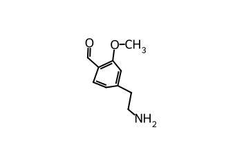 COc1cc(CCN)ccc1C=O